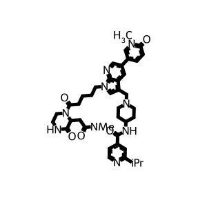 CNC(=O)CC1C(=O)NCCN1C(=O)CCCCn1cc(CN2CCC(NC(=O)c3ccnc(C(C)C)c3)CC2)c2cc(-c3ccc(=O)n(C)c3)cnc21